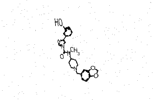 CN(C(=O)n1cnc(-c2cccc(O)c2)c1)C1CCN(Cc2ccc3c(c2)OCO3)CC1